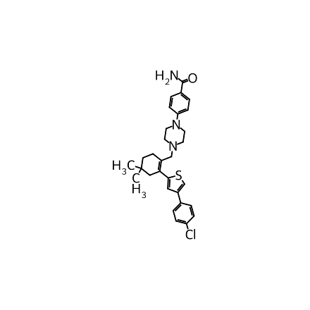 CC1(C)CCC(CN2CCN(c3ccc(C(N)=O)cc3)CC2)=C(c2cc(-c3ccc(Cl)cc3)cs2)C1